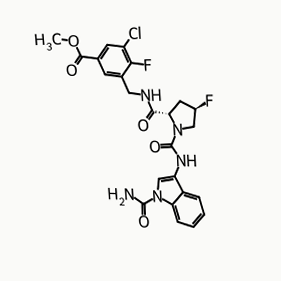 COC(=O)c1cc(Cl)c(F)c(CNC(=O)[C@@H]2C[C@@H](F)CN2C(=O)Nc2cn(C(N)=O)c3ccccc23)c1